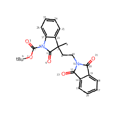 CC(C)(C)OC(=O)N1C(=O)C(C)(CCN2C(=O)c3ccccc3C2=O)c2ccccc21